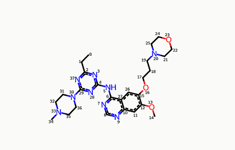 CCc1nc(Nc2ncnc3cc(OC)c(OCCCN4CCOCC4)cc23)nc(N2CCN(C)CC2)n1